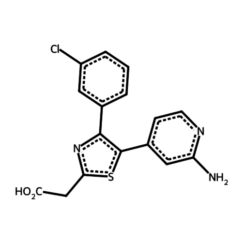 Nc1cc(-c2sc(CC(=O)O)nc2-c2cccc(Cl)c2)ccn1